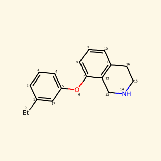 CCc1cccc(Oc2cccc3c2CNCC3)c1